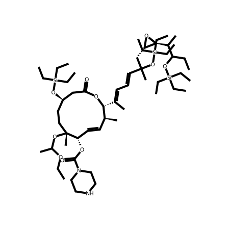 CCOC(C)O[C@]1(C)CC[C@@H](O[Si](CC)(CC)CC)CC(=O)O[C@H](/C(C)=C/C=C/C(C)(C[C@@H]2O[C@H]2C(C)C(CC)O[Si](CC)(CC)CC)O[Si](CC)(CC)CC)[C@@H](C)/C=C/[C@@H]1OC(=O)N1CCNCC1